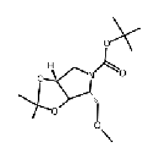 COC[C@@H]1C2OC(C)(C)O[C@@H]2CN1C(=O)OC(C)(C)C